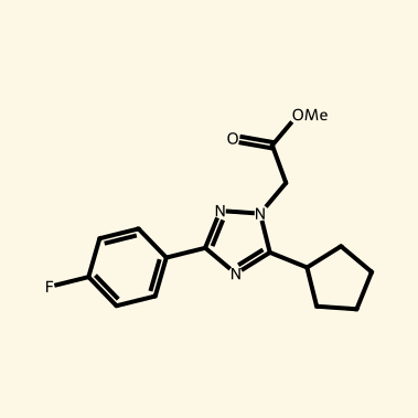 COC(=O)Cn1nc(-c2ccc(F)cc2)nc1C1CCCC1